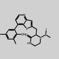 CB(I)N1CCNC(=O)C1Cc1cc2nccc(-c3cc(C)cc(C)c3O)c2s1